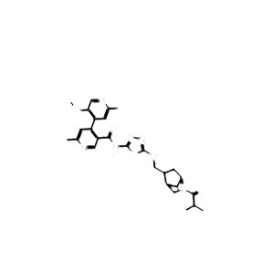 COc1cnc(Cl)cc1-c1cc(C)ncc1C(=O)Nc1nnc(OCC2CC3CC2CN3C(=O)C(C)C)s1